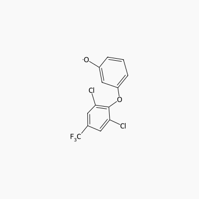 [O]c1cccc(Oc2c(Cl)cc(C(F)(F)F)cc2Cl)c1